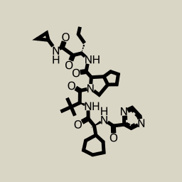 CCC[C@H](NC(=O)C1C2CCCC2CN1C(=O)[C@@H](NC(=O)[C@@H](NC(=O)c1cnccn1)C1CCCCC1)C(C)(C)C)C(=O)C(=O)NC1CC1